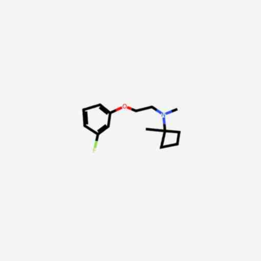 CN(CCOc1cccc(F)c1)C1(C)CCC1